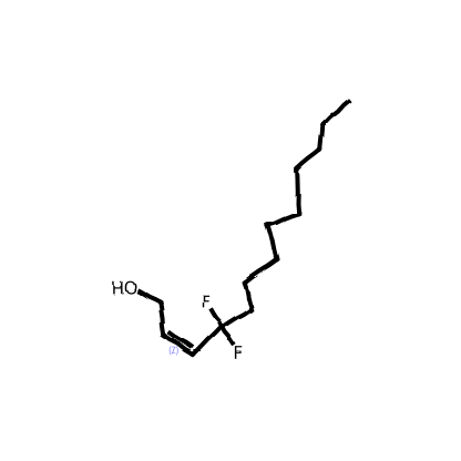 CCCCCCCCCC(F)(F)/C=C\CO